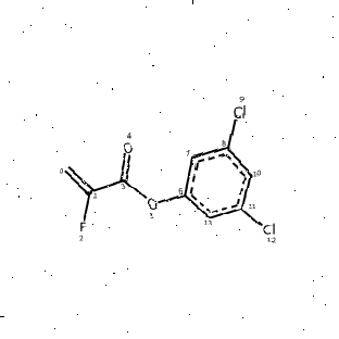 C=C(F)C(=O)Oc1cc(Cl)cc(Cl)c1